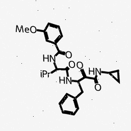 COc1cccc(C(=O)NC(C(=O)NC(Cc2ccccc2)C(=O)C(=O)NC2CC2)C(C)C)c1